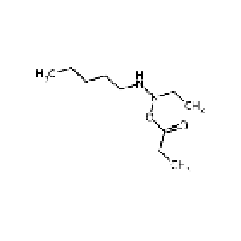 CCCCCNN(CC)OC(=O)CC